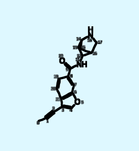 CC#Cc1coc2cc(C(=O)NC3CC4CC3CN4)ccc12